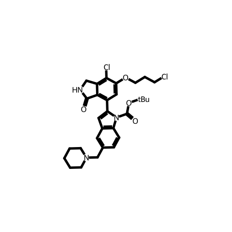 CC(C)(C)OC(=O)n1c(-c2cc(OCCCCl)c(Cl)c3c2C(=O)NC3)cc2cc(CN3CCCCC3)ccc21